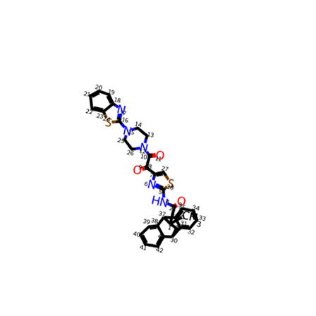 CC1(C(=O)Nc2nc(C(=O)C(=O)N3CCN(c4nc5ccccc5s4)CC3)cs2)CC2c3ccccc3C1c1ccccc12